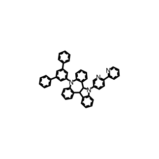 c1ccc(-c2cc(-c3ccccc3)cc(N3c4ccccc4C4c5ccccc5N(c5ccc(-c6ccccn6)nc5)C4c4ccccc43)c2)cc1